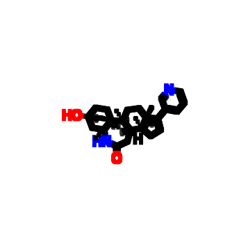 C[C@]12CC[C@H](O)C[C@]1(C)NC(=O)C[C@@H]1[C@]2(C)CC[C@]2(C)C(c3cccnc3)=CC[C@@]12C